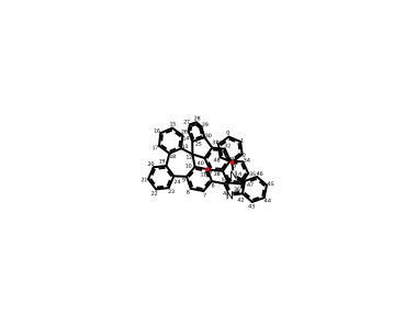 c1ccc(-n2c(-c3ccc4c(c3)C3(c5ccccc5-c5ccccc5-4)c4ccccc4-c4cc5ccccc5cc43)nc3ccccc32)cc1